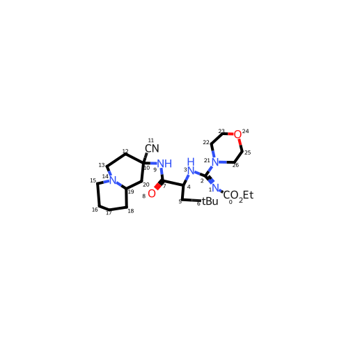 CCOC(=O)N=C(NC(CC(C)(C)C)C(=O)NC1(C#N)CCN2CCCCC2C1)N1CCOCC1